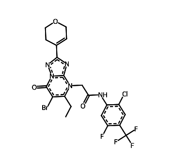 CCc1c(Br)c(=O)n2nc(C3=CCOCC3)nc2n1CC(=O)Nc1cc(F)c(C(F)(F)F)cc1Cl